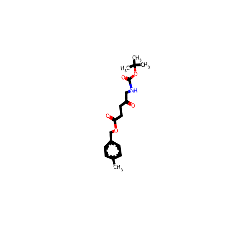 Cc1ccc(COC(=O)CCC(=O)CNC(=O)OC(C)(C)C)cc1